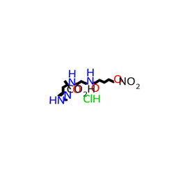 C[C@@](Cc1c[nH]cn1)(NC(=O)CCNC(=O)CCCCO[N+](=O)[O-])C(=O)O.Cl